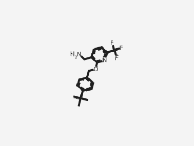 CC(C)(C)c1ccc(COc2nc(C(F)(F)F)ccc2CN)cc1